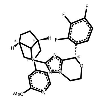 COc1cc(N2C[C@H]3CC[C@@H](C2)C3Nc2nc3n(n2)CCO[C@H]3c2ccc(F)c(F)c2F)ccn1